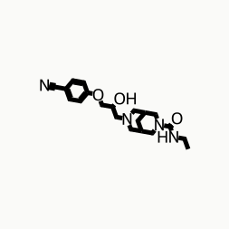 CCNC(=O)N1CC2CC(CN(CC(O)COc3ccc(C#N)cc3)C2)C1